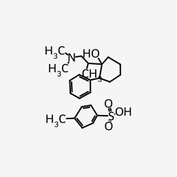 CC(CN(C)C)C1(O)CCCCC1c1ccccc1.Cc1ccc(S(=O)(=O)O)cc1